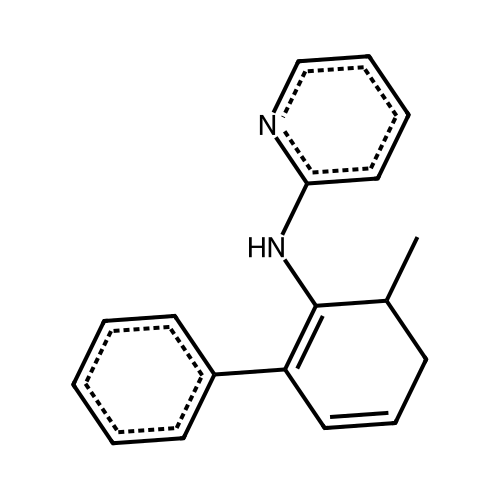 CC1CC=CC(c2ccccc2)=C1Nc1ccccn1